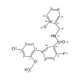 COc1cc(Cl)ccc1-c1ccc(F)c(C(=O)NCc2cccc[n+]2[O-])c1